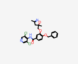 CC1=NOC(C)(COc2cc(C(=O)Nc3c(Cl)cncc3Cl)ccc2OCc2ccccc2)C1